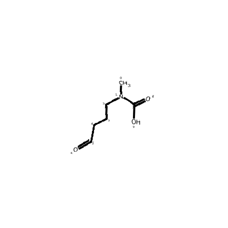 CN(CCCC=O)C(=O)O